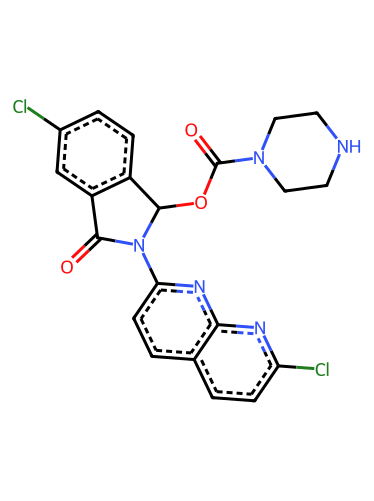 O=C(OC1c2ccc(Cl)cc2C(=O)N1c1ccc2ccc(Cl)nc2n1)N1CCNCC1